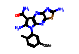 COc1ccc(C)c(-n2c(N)c(C(N)=O)c3nc4nc(N)sc4nc32)c1